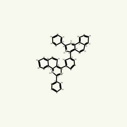 c1ccc(-c2nc(-c3cccc(-c4nc(-c5ccccc5)nc5c4ccc4ccccc45)c3)c3ccc4ccccc4c3n2)cc1